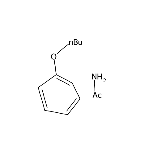 CC(N)=O.CCCCOc1ccccc1